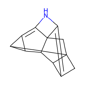 C1C2=C3NC4=C5C6C7C2C1(CC437)C56